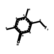 Cc1cn(C)c(CF)cc1=O